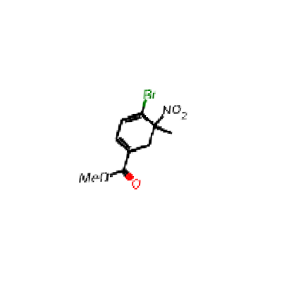 COC(=O)C1=CC=C(Br)C(C)([N+](=O)[O-])C1